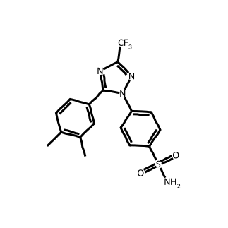 Cc1ccc(-c2nc(C(F)(F)F)nn2-c2ccc(S(N)(=O)=O)cc2)cc1C